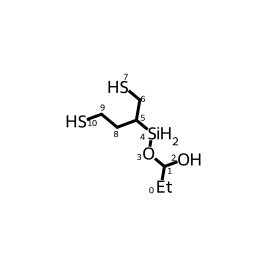 CCC(O)O[SiH2]C(CS)CCS